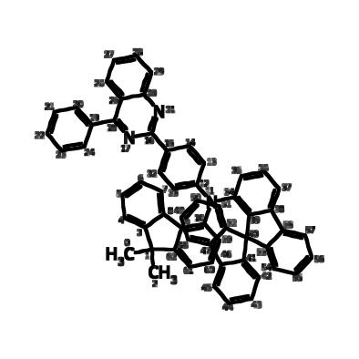 CC1(C)c2ccccc2-c2c(N(c3ccc(-c4nc(-c5ccccc5)c5ccccc5n4)cc3)c3cccc4c3C3(c5ccccc5-c5ccccc53)c3ccccc3-4)cccc21